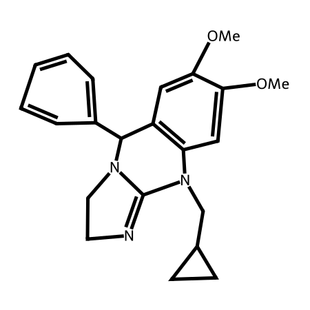 COc1cc2c(cc1OC)N(CC1CC1)C1=NCCN1C2c1ccccc1